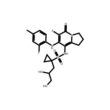 O=c1c(F)c(Nc2ccc(I)cc2F)c(NS(=O)(=O)C2(CC(O)CO)CC2)c2n1CCC2